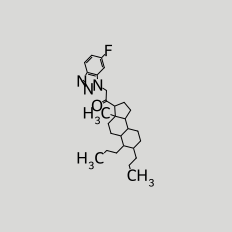 CCCC1CCC2C(CCC3(C)C(C(=O)Cn4nnc5ccc(F)cc54)CCC23)C1CCC